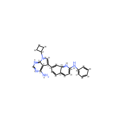 Nc1ncnc2c1c(-c1ccc3ccc(Nc4ccccc4)nc3c1)cn2C1CCC1